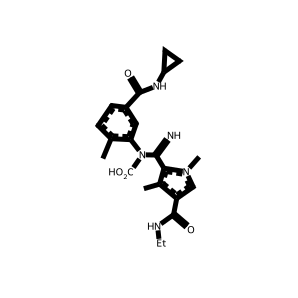 CCNC(=O)c1cn(C)c(C(=N)N(C(=O)O)c2cc(C(=O)NC3CC3)ccc2C)c1C